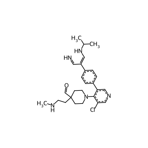 CNCCC1(C=O)CCN(c2c(Cl)cncc2-c2ccc(/C(C=N)=C/NC(C)C)cc2)CC1